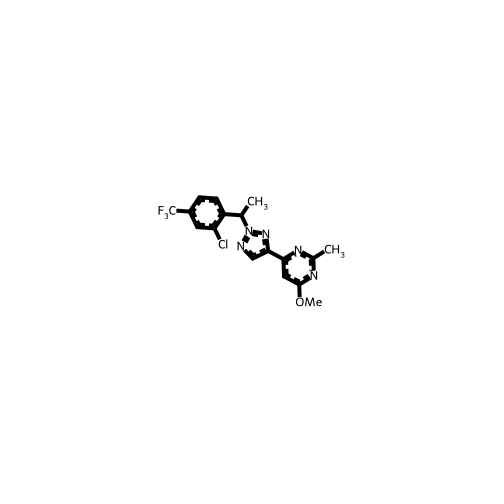 COc1cc(-c2cnn(C(C)c3ccc(C(F)(F)F)cc3Cl)n2)nc(C)n1